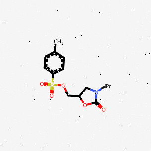 Cc1ccc(S(=O)(=O)OCC2CN(C(C)C)C(=O)O2)cc1